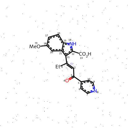 CC/C(=C\C(=O)c1ccncc1)c1c(C(=O)O)[nH]c2ccc(OC)cc12